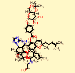 CC(C)=CCCC1(C)C=Cc2c(c(CC=C(C)C)c3c(c2OC(=O)c2ccc(O[C@@H]4O[C@@H]5COC(C)(C)O[C@H]5[C@H](O)[C@H]4O)cc2)C2=C4C([C@@H]5C[C@@H]6C(C)(C)OC(C/C=C(/C)C(=O)NCCO)(C5=O)C46O3)n3ncnc3N2)O1